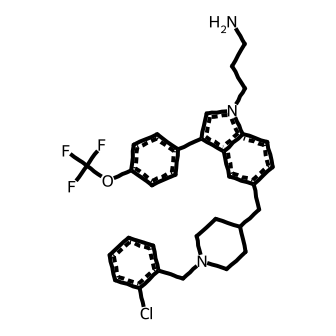 NCCCn1cc(-c2ccc(OC(F)(F)F)cc2)c2cc(CC3CCN(Cc4ccccc4Cl)CC3)ccc21